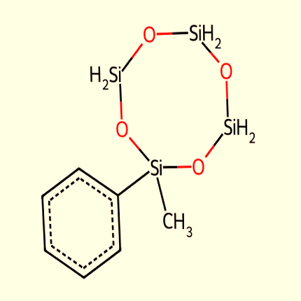 C[Si]1(c2ccccc2)O[SiH2]O[SiH2]O[SiH2]O1